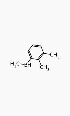 CBc1cccc(C)c1C